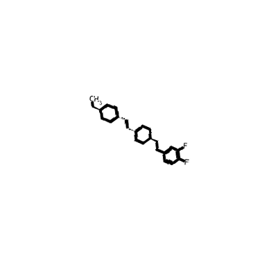 CC[C@H]1CC[C@H](CC[C@H]2CC[C@H](CCc3ccc(F)c(F)c3)CC2)CC1